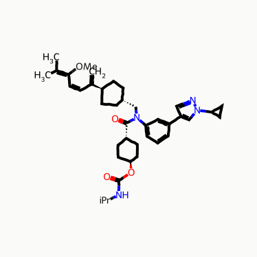 C=C(/C=C\C(OC)=C(C)C)[C@H]1CC[C@H](CN(c2cccc(-c3cnn(C4CC4)c3)c2)C(=O)[C@H]2CC[C@H](OC(=O)NC(C)C)CC2)CC1